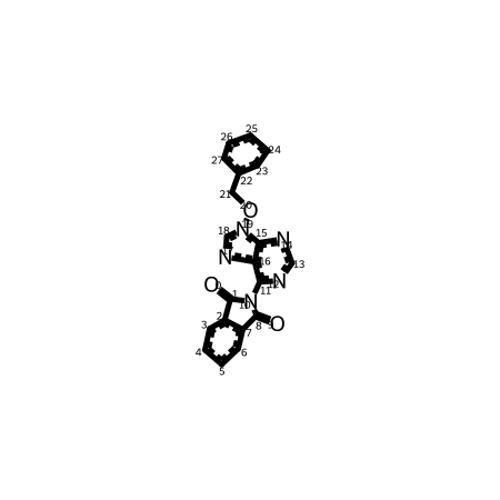 O=C1c2ccccc2C(=O)N1c1ncnc2c1ncn2OCc1ccccc1